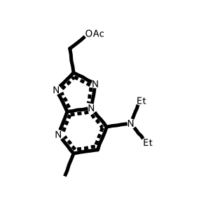 CCN(CC)c1cc(C)nc2nc(COC(C)=O)nn12